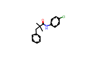 CC(C)(Cc1ccccc1)C(=O)Nc1ccc(Cl)cc1